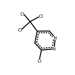 Clc1cc(C(Cl)(Cl)Cl)cnn1